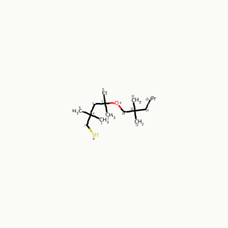 CCC(C)(CC(C)(C)CS)OCC(C)(C)CC(C)C